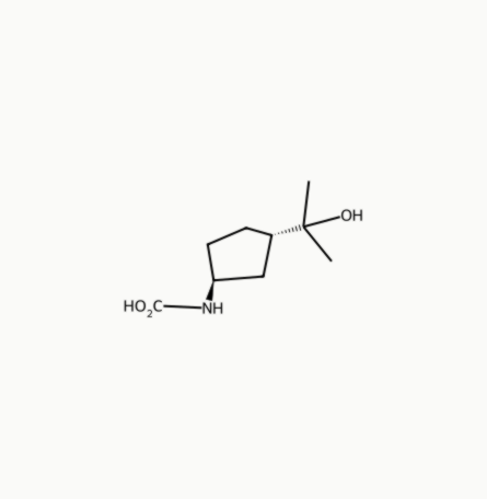 CC(C)(O)[C@H]1CC[C@H](NC(=O)O)C1